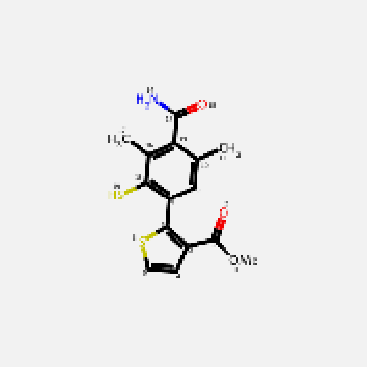 COC(=O)c1ccsc1-c1cc(C)c(C(N)=O)c(C)c1S